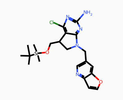 CC(C)(C)[Si](C)(C)OCC1CN(Cc2cnc3ccoc3c2)c2nc(N)nc(Cl)c21